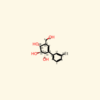 CCc1cccc(C2=C[C@H](CO)[C@@H](O)[C@H](O)[C@H]2O)c1